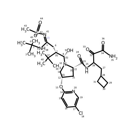 CC(C)(C)N/C(C[C@H]([C@H](O)N1C[C@@H](Oc2ccc(Cl)cn2)C[C@H]1C(=O)NC(CC1CCC1)C(=O)C(N)=O)C(C)(C)C)=N\S(C)(=O)=O